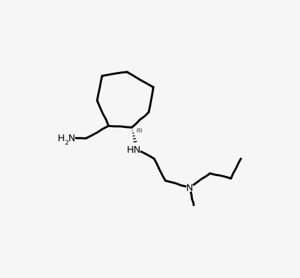 CCCN(C)CCN[C@H]1CCCCCC1CN